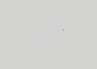 CCN(C=O)c1ccc(C)nc1N(C)c1ccc(Oc2nc3ccccc3n2C)cc1